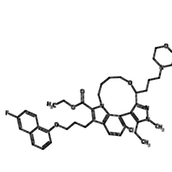 CCOC(=O)c1c(CCCOc2cccc3cc(F)ccc23)c2ccc(Cl)c3c2n1CCCCOC(CCCN1CCOCC1)c1nn(C)c(CC)c1-3